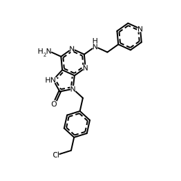 Nc1nc(NCc2ccncc2)nc2c1[nH]c(=O)n2Cc1ccc(CCl)cc1